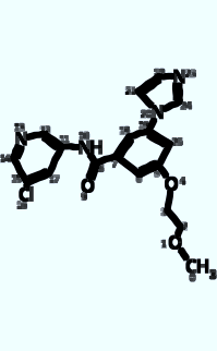 COCCOc1cc(C(=O)Nc2cncc(Cl)c2)cc(-n2ccnc2)c1